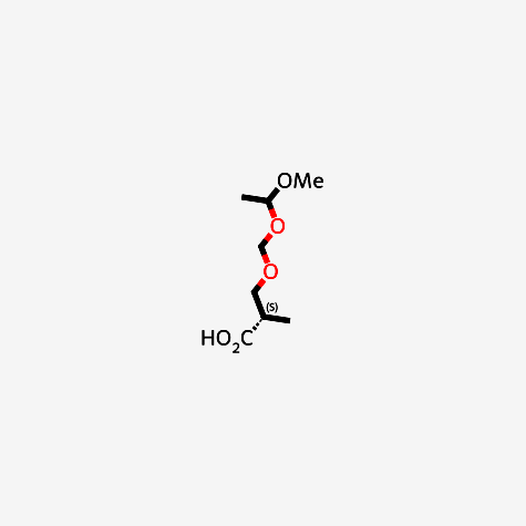 COC(C)OCOC[C@H](C)C(=O)O